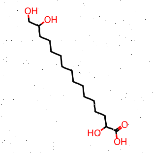 O=C(O)C(O)CCCCCCCCCCCCC(O)CO